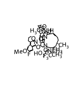 COc1cc2c3c(nc(O[C@@H]4C[C@H]5C(=O)N[C@]6(C(=O)NS(=O)(=O)C7(C)CC7)C[C@H]6/C=C\CC[C@@H](C)C[C@@H](C)[C@H](N(C(=O)O)C(C)(C)C(F)(F)F)C(=O)N5C4)c2cc1F)OCCC3